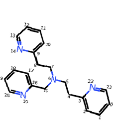 c1ccc(CCN(CCc2ccccn2)Cc2ccccn2)nc1